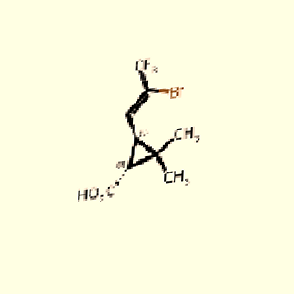 CC1(C)[C@H](C=C(Br)C(F)(F)F)[C@H]1C(=O)O